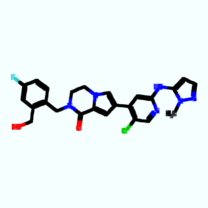 Cn1nccc1Nc1cc(-c2cc3n(c2)CCN(Cc2ccc(F)cc2CO)C3=O)c(Cl)cn1